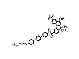 CCCCC[C@H]1CC[C@H](c2ccc(-c3ccc(NC(=O)c4ccc5c(c4)-c4c(cc(O)c6cc(C(F)(F)F)ccc46)C5(C)C)cc3)cc2)CC1